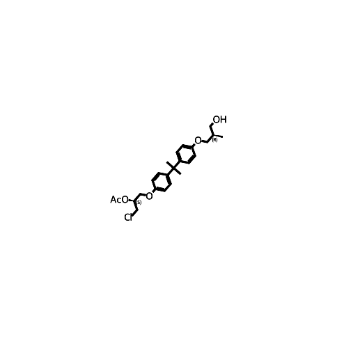 CC(=O)O[C@H](CCl)COc1ccc(C(C)(C)c2ccc(OC[C@H](C)CO)cc2)cc1